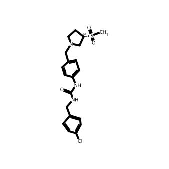 CS(=O)(=O)[C@H]1CCN(Cc2ccc(NC(=O)NCc3ccc(Cl)cc3)cc2)C1